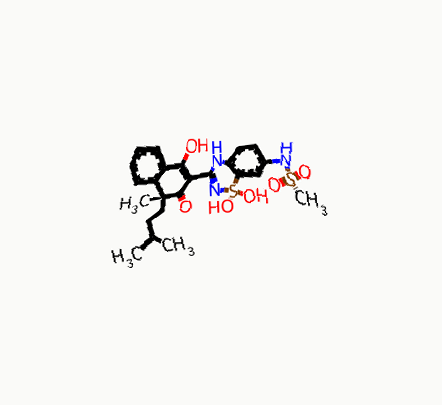 CC(C)CC[C@@]1(C)C(=O)C(C2=NS(O)(O)c3cc(NS(C)(=O)=O)ccc3N2)=C(O)c2ccccc21